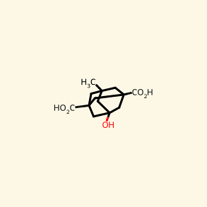 CC12CC3(O)CC(C(=O)O)(C1)CC(C(=O)O)(C2)C3